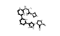 C[C@@H](Nc1nccc(-c2cccc(-c3cc([C@@H]4CCN(C)C4=O)on3)n2)n1)C(=O)N1CCC1